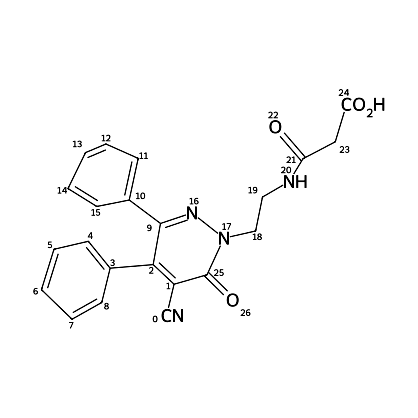 N#Cc1c(-c2ccccc2)c(-c2ccccc2)nn(CCNC(=O)CC(=O)O)c1=O